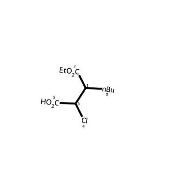 CCCCC(C(=O)OCC)C(Cl)C(=O)O